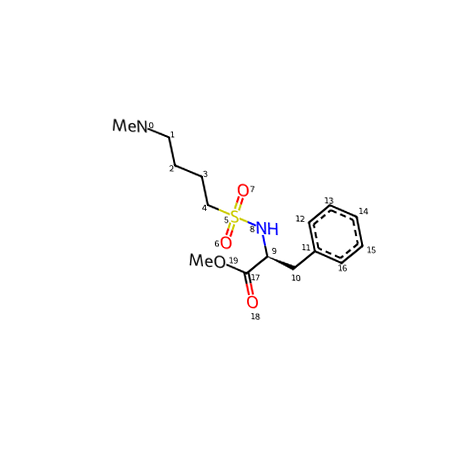 CNCCCCS(=O)(=O)N[C@@H](Cc1ccccc1)C(=O)OC